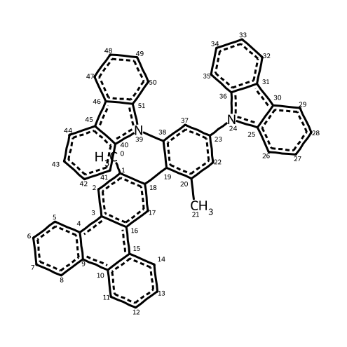 Cc1cc2c3ccccc3c3ccccc3c2cc1-c1c(C)cc(-n2c3ccccc3c3ccccc32)cc1-n1c2ccccc2c2ccccc21